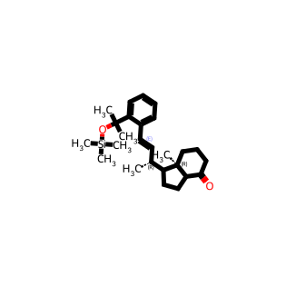 C[C@H](/C=C/c1ccccc1C(C)(C)O[Si](C)(C)C)C1CCC2C(=O)CCC[C@@]21C